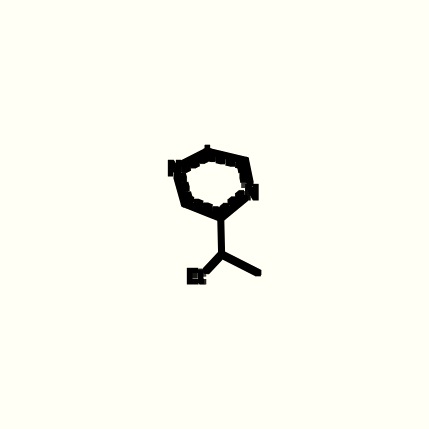 CCC(C)c1cn[c]cn1